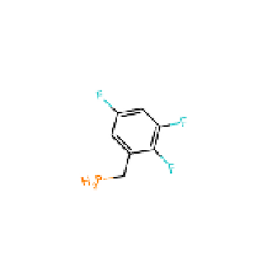 Fc1cc(F)c(F)c(CP)c1